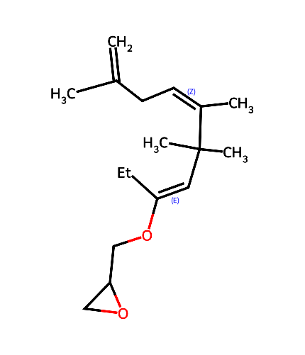 C=C(C)C/C=C(/C)C(C)(C)/C=C(\CC)OCC1CO1